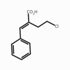 O=C(O)C(=Cc1ccccc1)CCCl